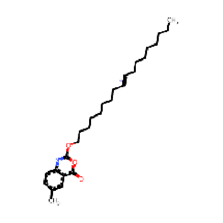 CCCCCCCC/C=C/CCCCCCCCOc1nc2ccc(C)cc2c(=O)o1